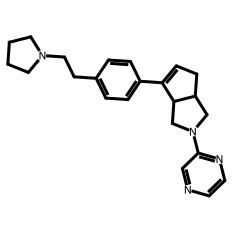 C1=C(c2ccc(CCN3CCCC3)cc2)C2CN(c3cnccn3)CC2C1